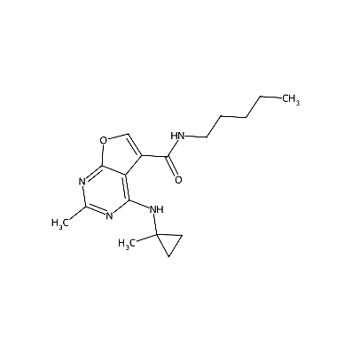 CCCCCNC(=O)c1coc2nc(C)nc(NC3(C)CC3)c12